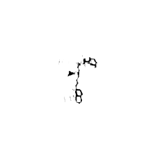 O=C(NC(CCN(CCCCc1ccc2c(n1)NCCC2)C1CC1)C(=O)O)c1cc(F)ccc1Cl